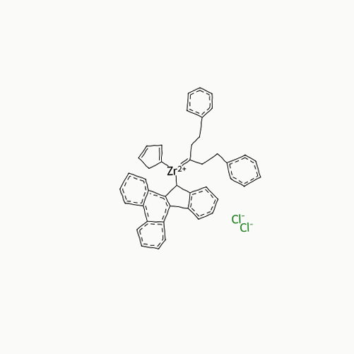 C1=CC[C]([Zr+2](=[C](CCc2ccccc2)CCc2ccccc2)[CH]2c3ccccc3-c3c2c2ccccc2c2ccccc32)=C1.[Cl-].[Cl-]